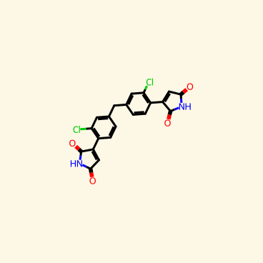 O=C1C=C(c2ccc(Cc3ccc(C4=CC(=O)NC4=O)c(Cl)c3)cc2Cl)C(=O)N1